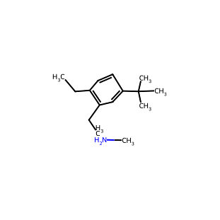 CCc1ccc(C(C)(C)C)cc1CC.CN